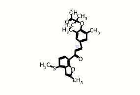 CSc1ccc(C(=O)/C=C/c2cc(C)c(OC(C)(C)C(=O)O)c(C)c2)c2oc(C)cc12